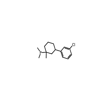 CP(C)C1(C)CCCC(c2cccc(Cl)c2)C1